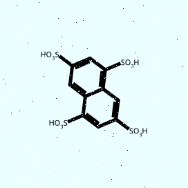 O=S(=O)(O)c1cc(S(=O)(=O)O)c2cc(S(=O)(=O)O)cc(S(=O)(=O)O)c2c1